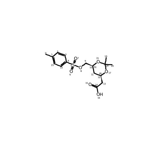 Cc1ccc(S(=O)(=O)OC[C@@H]2C[C@H](CC(=O)O)OC(C)(C)O2)cc1